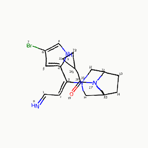 N=C/C=C(\c1cc(Br)c[nH]1)N1CC2CCC(C1)N2C(=O)C1CC1